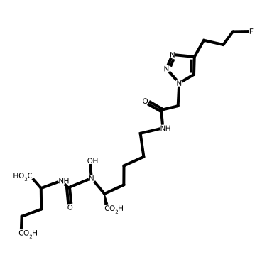 O=C(O)CCC(NC(=O)N(O)[C@@H](CCCCNC(=O)Cn1cc(CCCF)nn1)C(=O)O)C(=O)O